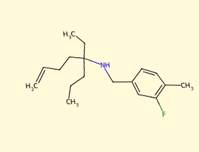 C=CCCC(CC)(CCC)NCc1ccc(C)c(F)c1